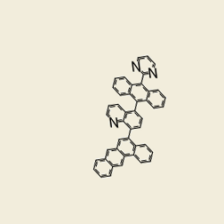 c1cnc(-c2c3ccccc3c(-c3ccc(-c4cc5cc6ccccc6cc5c5ccccc45)c4ncccc34)c3ccccc23)nc1